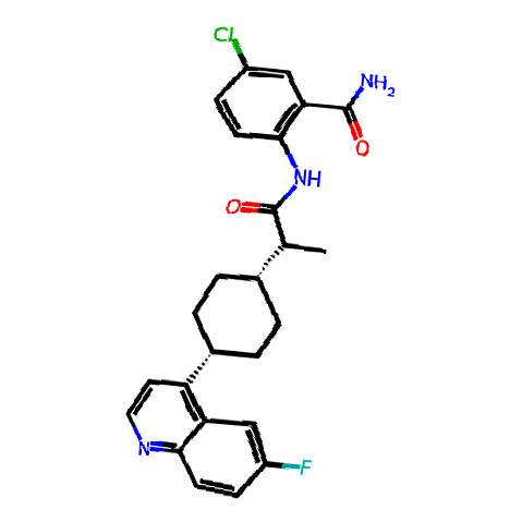 CC(C(=O)Nc1ccc(Cl)cc1C(N)=O)[C@H]1CC[C@@H](c2ccnc3ccc(F)cc32)CC1